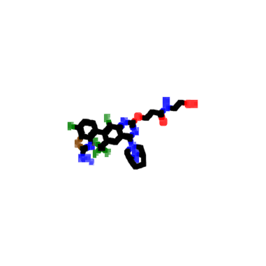 Nc1nc2c(-c3c(C(F)(F)F)cc4c(N5CC6CCC(C5)N6)nc(OCCC(=O)NCCO)nc4c3F)ccc(F)c2s1